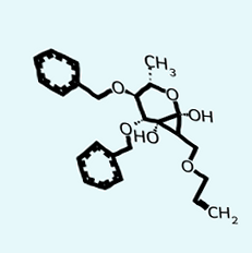 C=CCOCC1[C@]2(O)O[C@@H](C)[C@H](OCc3ccccc3)[C@@H](OCc3ccccc3)[C@]12O